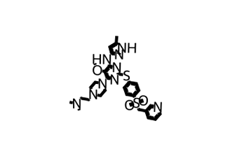 COc1c(Nc2cc(C)[nH]n2)nc(Sc2ccc(S(=O)(=O)Cc3cccnc3)cc2)nc1N1CCN(CCN(C)C)CC1